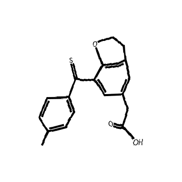 Cc1ccc(C(=S)c2cc(CC(=O)O)cc3c2OCC3)cc1